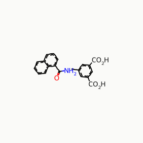 Cc1cc(C(=O)O)cc(C(=O)O)c1.NC(=O)c1cccc2ccccc12